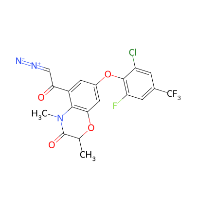 CC1Oc2cc(Oc3c(F)cc(C(F)(F)F)cc3Cl)cc(C(=O)C=[N+]=[N-])c2N(C)C1=O